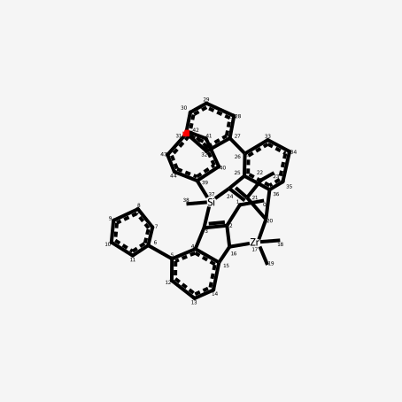 CCC1=C2c3c(-c4ccccc4)cccc3[CH]1[Zr]([CH3])([CH3])[CH]1C(CC)=C(c3c(-c4ccccc4)cccc31)[Si]2(C)c1ccccc1